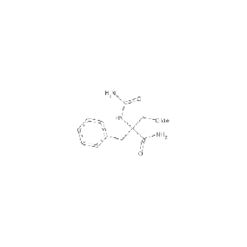 COCC(Cc1ccccc1)(NC(N)=O)C(N)=O